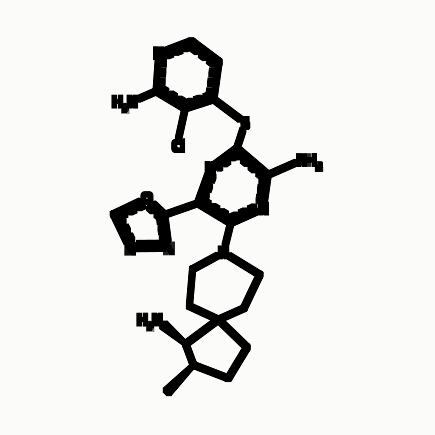 C[C@@H]1CCC2(CCN(c3nc(N)c(Sc4ccnc(N)c4Cl)nc3-c3nnco3)CC2)[C@@H]1N